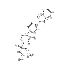 CC(C)[C@H](NS(=O)(=O)c1ccc2c(c1)oc1cc(-c3nc4ccccc4o3)ccc12)C(=O)O